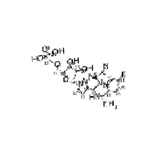 C[C@H](Nc1nc(C#N)nc2c1ccn2[C@@H]1O[C@H](COCP(=O)(O)O)[C@@H](O)[C@H]1O)c1ccc(F)cn1